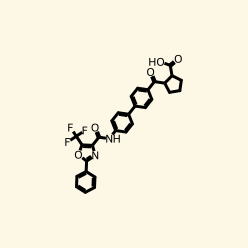 O=C(Nc1ccc(-c2ccc(C(=O)C3CCCC3C(=O)O)cc2)cc1)c1nc(-c2ccccc2)oc1C(F)(F)F